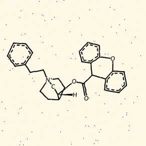 O=C(O[C@H]1C[N+]2(CCc3ccccc3)CCC1CC2)C1c2ccccc2Oc2ccccc21